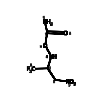 NC(=O)ONC(C[N+](=O)[O-])C(F)(F)F